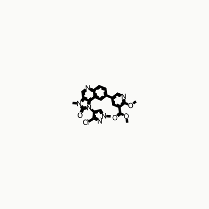 COC(=O)c1cc(-c2ccc3ncc4c(c3c2)n(-c2cn(C)nc2Cl)c(=O)n4C)cnc1OC